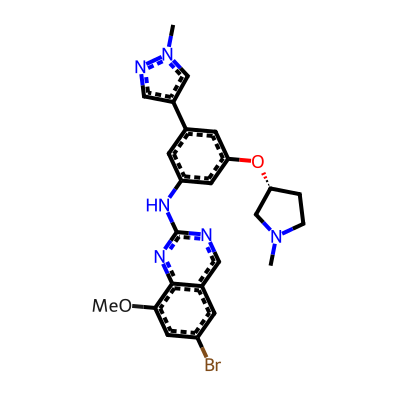 COc1cc(Br)cc2cnc(Nc3cc(O[C@@H]4CCN(C)C4)cc(-c4cnn(C)c4)c3)nc12